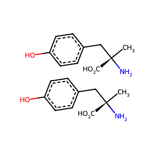 C[C@](N)(Cc1ccc(O)cc1)C(=O)O.C[C@](N)(Cc1ccc(O)cc1)C(=O)O